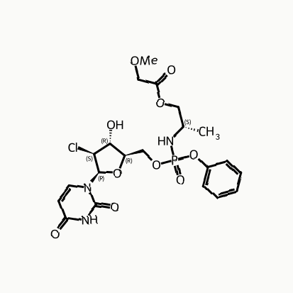 COCC(=O)OC[C@H](C)NP(=O)(OC[C@H]1O[C@@H](n2ccc(=O)[nH]c2=O)[C@@H](Cl)[C@@H]1O)Oc1ccccc1